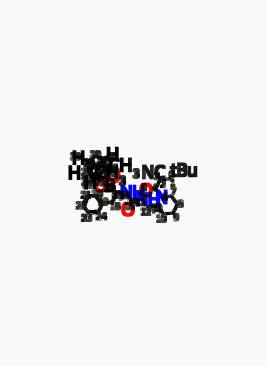 CC(C)(C)CC(C#N)C(=O)N1CCCC[C@H]1CNC(=O)N[C@@H](Cc1ccccc1)B1O[C@@H]2C[C@@H]3C[C@@H](C3(C)C)[C@]2(C)O1